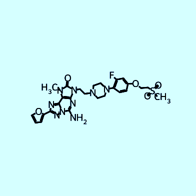 Cn1c(=O)n(CCN2CCN(c3ccc(OCCS(C)(=O)=O)cc3F)CC2)c2nc(N)n3nc(-c4ccco4)nc3c21